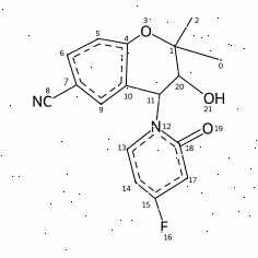 CC1(C)Oc2ccc(C#N)cc2C(n2ccc(F)cc2=O)C1O